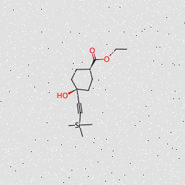 CCOC(=O)[C@H]1CC[C@](O)(C#C[Si](C)(C)C)CC1